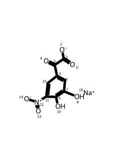 O=C([O-])C(=O)c1cc(O)c(O)c([N+](=O)[O-])c1.[Na+]